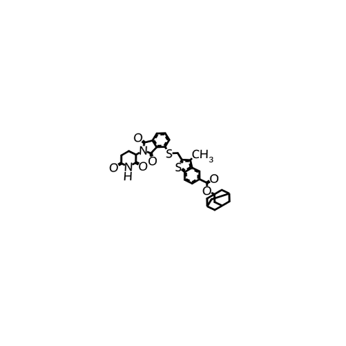 Cc1c(CSc2cccc3c2C(=O)N(C2CCC(=O)NC2=O)C3=O)sc2ccc(C(=O)OC34CC5CC(CC(C5)C3)C4)cc12